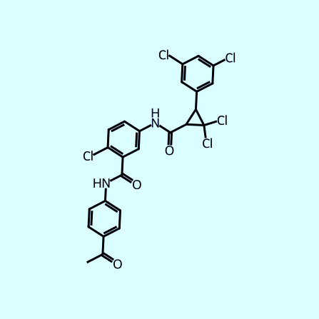 CC(=O)c1ccc(NC(=O)c2cc(NC(=O)C3C(c4cc(Cl)cc(Cl)c4)C3(Cl)Cl)ccc2Cl)cc1